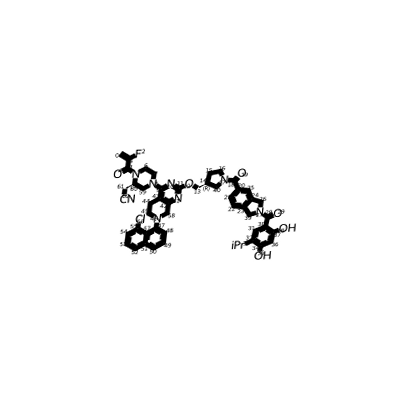 C=C(F)C(=O)N1CCN(c2nc(OC[C@@H]3CCN(C(=O)c4ccc5c(c4)CN(C(=O)c4cc(C(C)C)c(O)cc4O)C5)C3)nc3c2CCN(c2cccc4cccc(Cl)c24)C3)C[C@@H]1CC#N